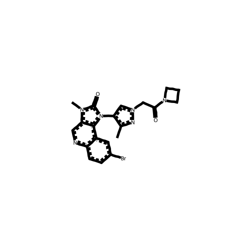 Cc1nn(CC(=O)N2CCC2)cc1-n1c(=O)n(C)c2cnc3ccc(Br)cc3c21